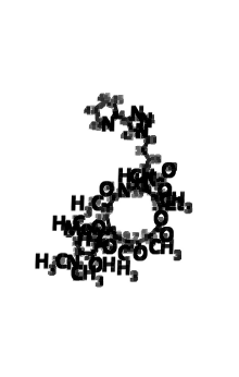 CC[C@H]1OC(=O)[C@H](C)C(=O)[C@H](C)[C@@H](O[C@@H]2OC(C)CC(N(C)C)C2O)[C@](C)(OC)C[C@@H](C)C(=O)N[C@H](C)[C@H]2N(CCCCn3cc(-c4ccccn4)nn3)C(=O)O[C@]12C